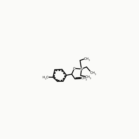 C=CC(O[Si](CC)(CC)CC)c1ccc(C)cc1